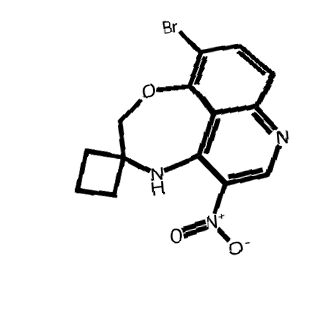 O=[N+]([O-])c1cnc2ccc(Br)c3c2c1NC1(CCC1)CO3